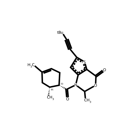 CC1=CC[C@H](C(=O)N2c3cc(C#CC(C)(C)C)sc3C(=O)OC2C)[C@H](C)C1